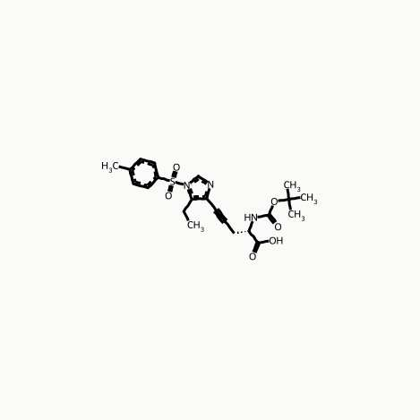 CCc1c(C#CC[C@H](NC(=O)OC(C)(C)C)C(=O)O)ncn1S(=O)(=O)c1ccc(C)cc1